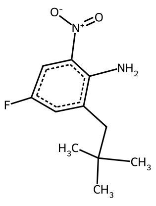 CC(C)(C)Cc1cc(F)cc([N+](=O)[O-])c1N